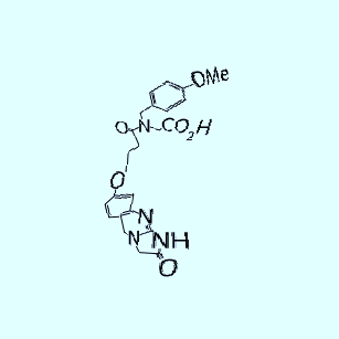 COc1ccc(CN(CC(=O)O)C(=O)CCCOc2ccc3c(c2)N=C2NC(=O)CN2C3)cc1